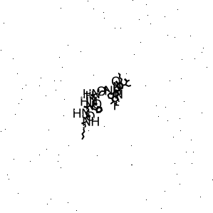 C=C(CCCCCC)NCC(=O)NCC(=C)NC(Cc1ccccc1)C(=O)NCC(=C)NCOCC(=C)NC1CCc2c(C)c(F)cc3nc4c(c1c23)Cn1c-4cc(C(CC)C(=C)C)c(CCCC)c1=O